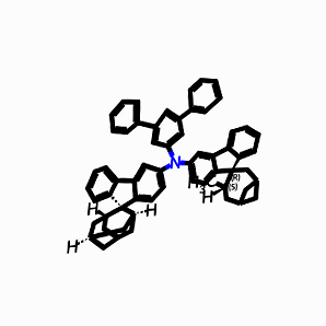 C[C@H]1CC2CC(C2)C[C@]12c1ccccc1-c1cc(N(c3cc(-c4ccccc4)cc(-c4ccccc4)c3)c3ccc4c(c3)-c3ccccc3[C@]43[C@@H]4CC5C[C@@H](C4)C[C@@H]3C5)ccc12